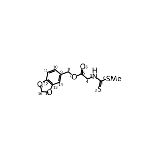 CSC(=S)NCC(=O)OCc1ccc2c(c1)OCO2